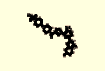 CCS(=O)(=O)N1CCC(N2CCN(C(=O)c3cnn(-c4nc(-c5cc(C)c6c(c5)CN(C)CC6)cnc4N)c3)CC2)CC1